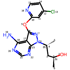 C[C@H](O)C[C@@H](C)n1nc(Oc2cc(Cl)ccn2)c2c(N)ncnc21